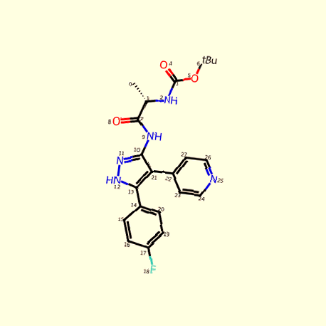 C[C@H](NC(=O)OC(C)(C)C)C(=O)Nc1n[nH]c(-c2ccc(F)cc2)c1-c1ccncc1